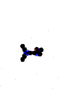 c1ccc(-c2ccc(-c3nc(-c4ccc(-c5ccccc5)cc4)nc(-c4ccc(-c5ccc(-c6nc7ccccc7c7c6c6ccccc6n7-c6ccccc6)cc5)cc4)n3)cc2)cc1